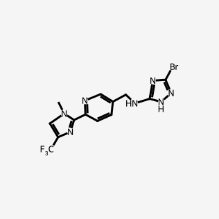 Cn1cc(C(F)(F)F)nc1-c1ccc(CNc2nc(Br)n[nH]2)cn1